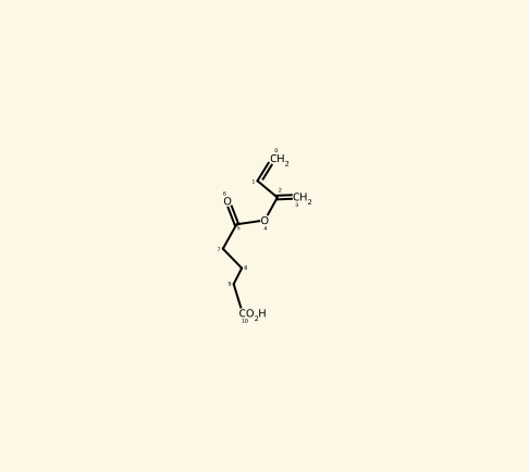 C=CC(=C)OC(=O)CCCC(=O)O